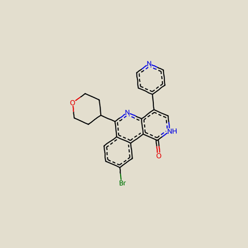 O=c1[nH]cc(-c2ccncc2)c2nc(C3CCOCC3)c3ccc(Br)cc3c12